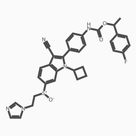 CC(OC(=O)Nc1ccc(-c2c(C#N)c3ccc([S+]([O-])CCn4ccnc4)cc3n2C2CCC2)cc1)c1ccc(F)cc1